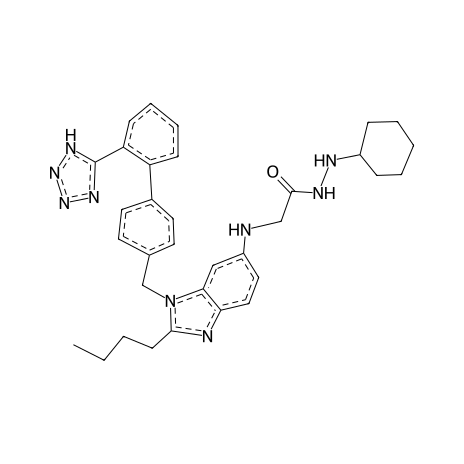 CCCCc1nc2ccc(NCC(=O)NNC3CCCCC3)cc2n1Cc1ccc(-c2ccccc2-c2nnn[nH]2)cc1